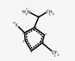 CC(N)c1cc(C(F)(F)F)ccc1F